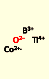 [B+3].[Co+2].[O-2].[Ti+4]